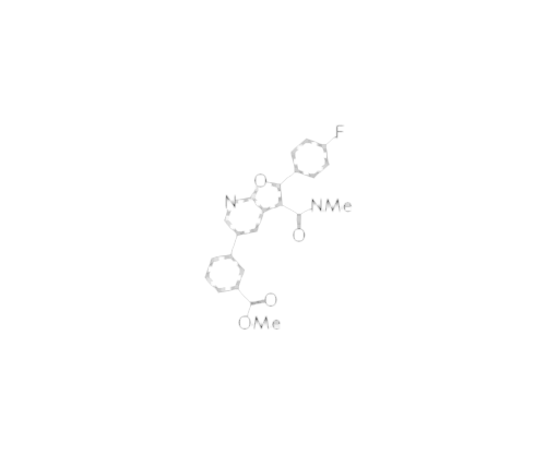 CNC(=O)c1c(-c2ccc(F)cc2)oc2ncc(-c3cccc(C(=O)OC)c3)cc12